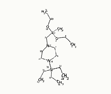 CCO[Si](C)(CN1CCN([Si](CC)(CC)CC)CC1)OCC